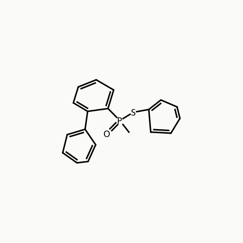 CP(=O)(Sc1ccccc1)c1ccccc1-c1ccccc1